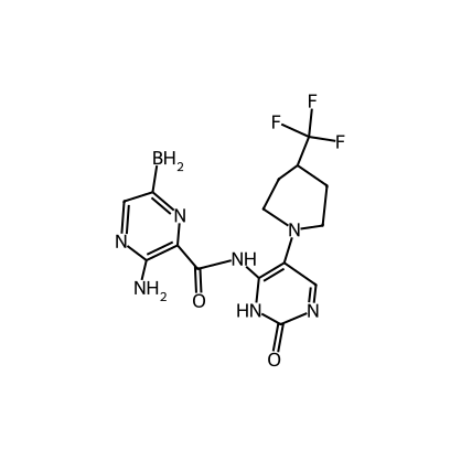 Bc1cnc(N)c(C(=O)Nc2[nH]c(=O)ncc2N2CCC(C(F)(F)F)CC2)n1